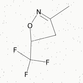 CC1=NOC(C(F)(F)F)C1